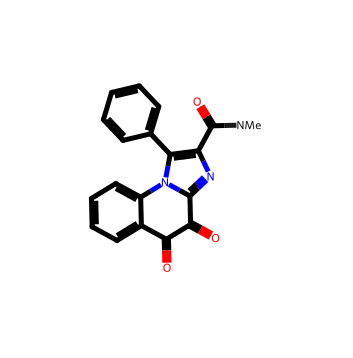 CNC(=O)c1nc2n(c1-c1ccccc1)-c1ccccc1C(=O)C2=O